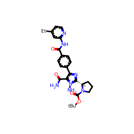 CCc1ccnc(NC(=O)c2ccc(-c3nc([C@@H]4CCCN4C(=O)OC(C)(C)C)n(N)c3C(N)=O)cc2)c1